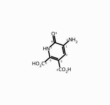 Nc1cc(C(=O)O)c(C(=O)O)[nH]c1=O